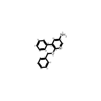 Nc1cnc(OCc2ccccc2)c(-c2ccccc2)c1